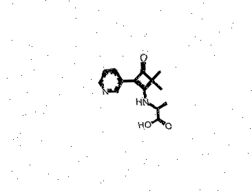 CC(NC1=C(c2cccnc2)C(=O)C1(C)C)C(=O)O